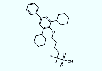 O=S(=O)(O)C(F)(F)CCCCOc1c(C2CCCCC2)cc(-c2ccccc2)cc1C1CCCCC1